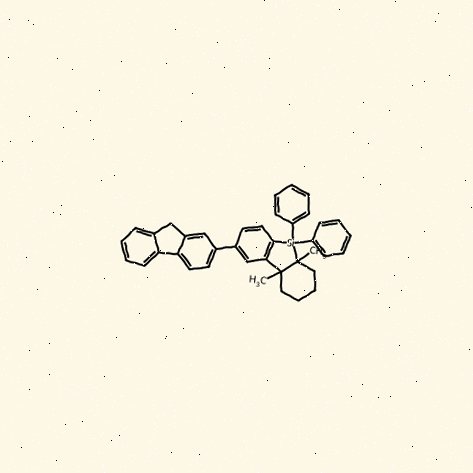 CC12CCCCC1(C)[Si](c1ccccc1)(c1ccccc1)c1ccc(-c3ccc4c(c3)Cc3ccccc3-4)cc12